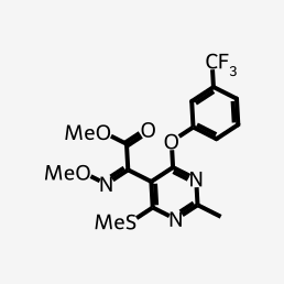 CON=C(C(=O)OC)c1c(Oc2cccc(C(F)(F)F)c2)nc(C)nc1SC